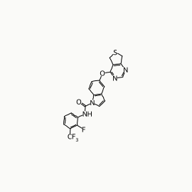 O=C(Nc1cccc(C(F)(F)F)c1F)n1ccc2cc(Oc3ncnc4c3CSC4)ccc21